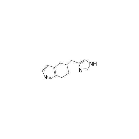 c1cc2c(cn1)CCC(Cc1c[nH]cn1)C2